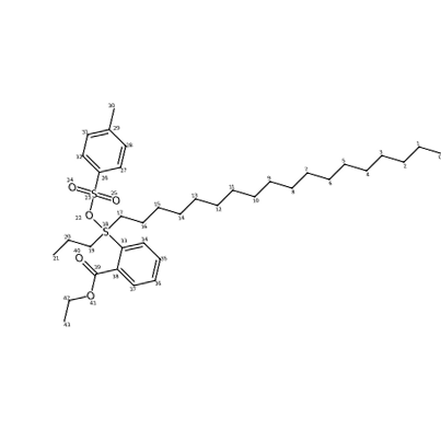 CCCCCCCCCCCCCCCCCCS(CCC)(OS(=O)(=O)c1ccc(C)cc1)c1ccccc1C(=O)OCC